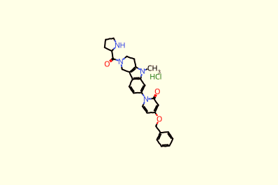 Cl.Cn1c2c(c3ccc(-n4ccc(OCc5ccccc5)cc4=O)cc31)CN(C(=O)C1CCCN1)CC2